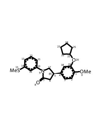 COc1ccc([C@H]2CC(=O)N(c3cccc(SC)c3)C2)cc1OC1CCCC1